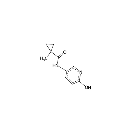 CC1(C(=O)Nc2ccc(O)nc2)CC1